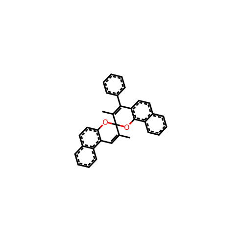 CC1=Cc2c(ccc3ccccc23)OC12Oc1c(ccc3ccccc13)C(c1ccccc1)=C2C